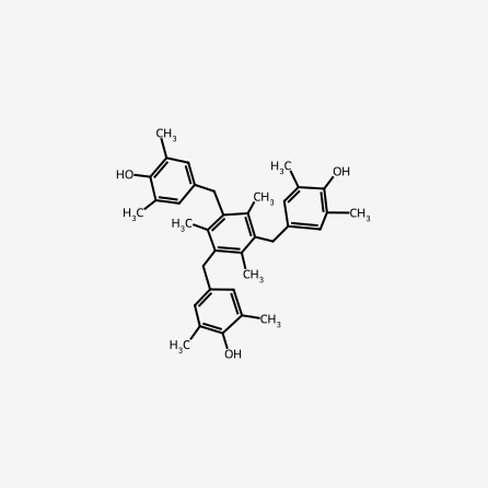 Cc1cc(Cc2c(C)c(Cc3cc(C)c(O)c(C)c3)c(C)c(Cc3cc(C)c(O)c(C)c3)c2C)cc(C)c1O